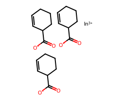 O=C([O-])C1C=CCCC1.O=C([O-])C1C=CCCC1.O=C([O-])C1C=CCCC1.[In+3]